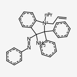 C=CC[N+]1(CCC)c2ccccc2C(N)(N=Nc2ccccc2)C1(c1ccccc1)c1ccccc1